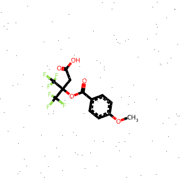 COc1ccc(C(=O)OC(CC(=O)O)(C(F)(F)F)C(F)(F)F)cc1